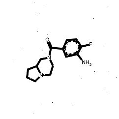 Nc1cc(C(=O)N2CCN3CCCC3C2)ccc1F